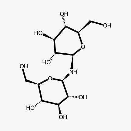 OC[C@H]1O[C@@H](N[C@@H]2O[C@H](CO)[C@@H](O)[C@H](O)[C@H]2O)[C@H](O)[C@@H](O)[C@@H]1O